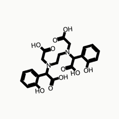 O=C(O)CN(CCN(CC(=O)O)C(C(=O)O)c1ccccc1O)C(C(=O)O)c1ccccc1O